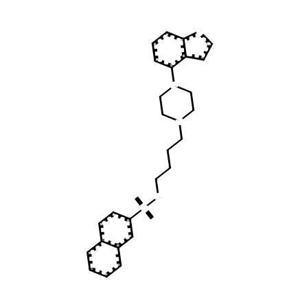 O=S(=O)(NCCCCN1CCN(c2cccc3[nH]ccc23)CC1)c1ccc2ccccc2c1